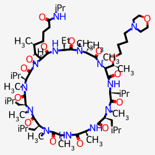 CC[C@@H]1NC(=O)[C@@H]2[C@@H]([C@H](C)CCCC(=O)NC(C)C)ON2C(=O)[C@H](C(C)C)N(C)C(=O)[C@H](CC(C)C)N(C)C(=O)[C@H](CC(C)C)N(C)C(=O)[C@@H](C)NC(=O)[C@H](C)NC(=O)[C@H](CC(C)C)N(C)C(=O)[C@H](C(C)C)NC(=O)[C@H]([C@@H](C)OCCCCN2CCOCC2)N(C)C(=O)[C@@H](C)N(C)C1=O